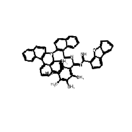 Bc1c(B)c(B)c(C(=N/C(=N)c2cccc3c2oc2ccccc23)/N=C/c2c(N3c4ccc5ccccc5c4-c4cccc5cccc3c45)ccc3ccccc23)c(B)c1B